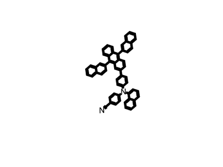 N#Cc1ccc(N(c2ccc(-c3ccc4c(-c5ccc6ccccc6c5)c5ccccc5c(-c5ccc6ccccc6c5)c4c3)cc2)c2cccc3ccccc23)cc1